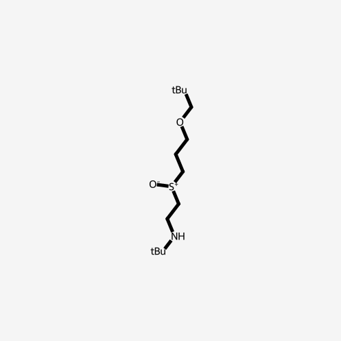 CC(C)(C)COCCC[S+]([O-])CCNC(C)(C)C